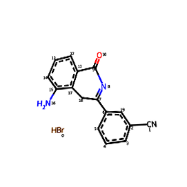 Br.N#Cc1cccc(C2=NC(=O)c3cccc(N)c3C2)c1